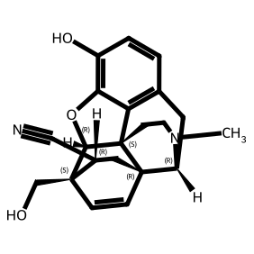 CN1CC[C@]23c4c5ccc(O)c4O[C@H]2[C@@]2(CO)C=C[C@@]3(C[C@H]2C#N)[C@H]1C5